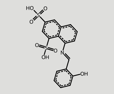 O=S(=O)(O)c1cc(S(=O)(=O)O)c2c(/N=C/c3ccccc3O)cccc2c1